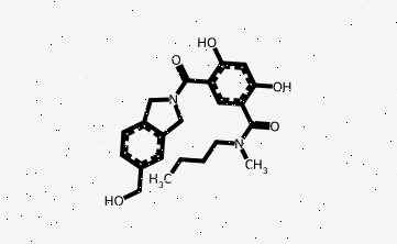 CCCCN(C)C(=O)c1cc(C(=O)N2Cc3ccc(CO)cc3C2)c(O)cc1O